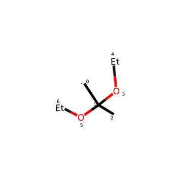 [CH2]C(C)(OCC)OCC